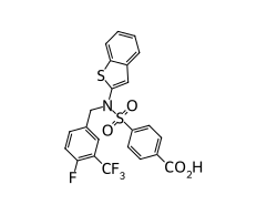 O=C(O)c1ccc(S(=O)(=O)N(Cc2ccc(F)c(C(F)(F)F)c2)c2cc3ccccc3s2)cc1